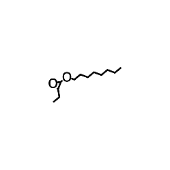 CCCCCCCCOC1OC1CC